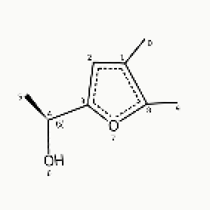 Cc1cc([C@H](C)O)oc1C